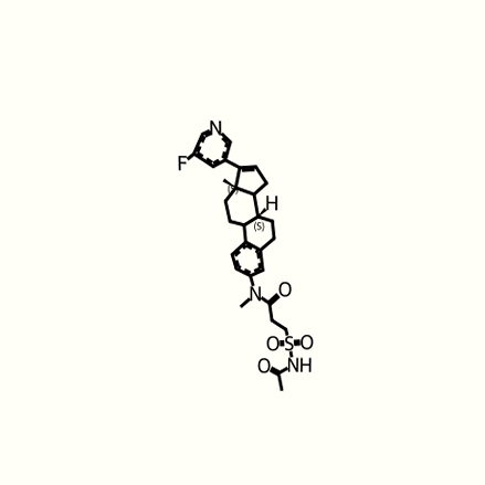 CC(=O)NS(=O)(=O)CCC(=O)N(C)c1ccc2c(c1)CC[C@@H]1C2CC[C@]2(C)C(c3cncc(F)c3)=CCC12